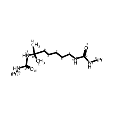 CC(C)NC(=O)NCCCC[CH]C(C)(C)NC(=O)NC(C)C